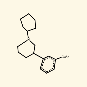 COc1cccc(C2[CH]N(C3CCCCC3)CCC2)c1